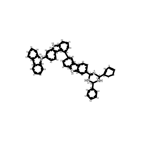 C1=CCCC(C2N=C(c3ccc4c(c3)oc3ccc(-c5cccc6sc7cc(-n8c9ccccc9c9ccccc98)ccc7c56)cc34)NC(c3ccccc3)N2)=C1